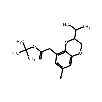 CC(C)C1COc2cc(F)cc(CC(=O)OC(C)(C)C)c2O1